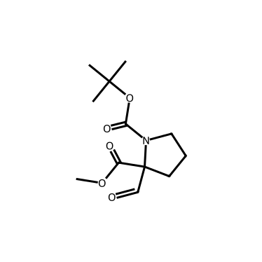 COC(=O)C1(C=O)CCCN1C(=O)OC(C)(C)C